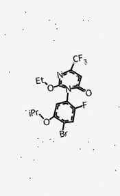 CCOc1nc(C(F)(F)F)cc(=O)n1-c1cc(OC(C)C)c(Br)cc1F